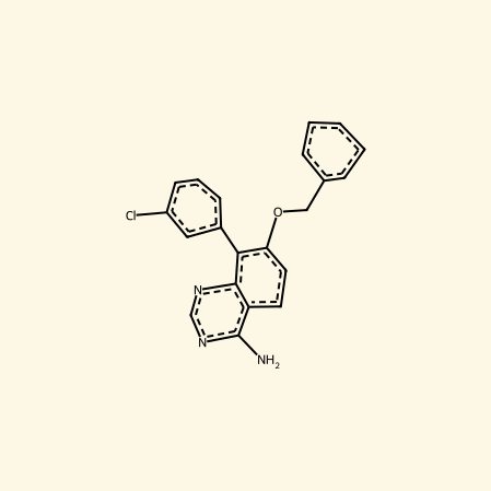 Nc1ncnc2c(-c3cccc(Cl)c3)c(OCc3ccccc3)ccc12